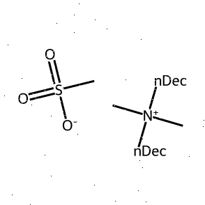 CCCCCCCCCC[N+](C)(C)CCCCCCCCCC.CS(=O)(=O)[O-]